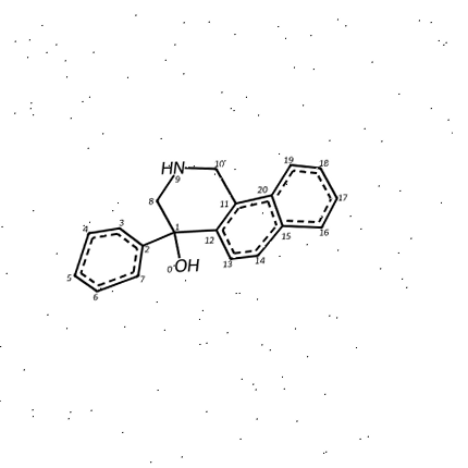 OC1(c2ccccc2)CNCc2c1ccc1ccccc21